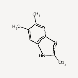 Cc1cc2nc(C(Cl)(Cl)Cl)[nH]c2cc1C